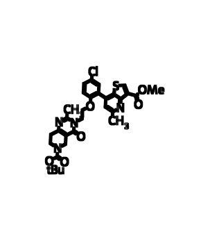 COC(=O)c1csc2c(-c3cc(Cl)ccc3OCCn3c(C)nc4c(c3=O)CN(C(=O)OC(C)(C)C)CC4)cc(C)nc12